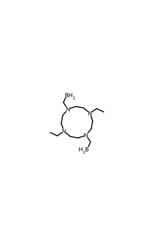 BCN1CCN(CC)CCN(CB)CCN(CC)CC1